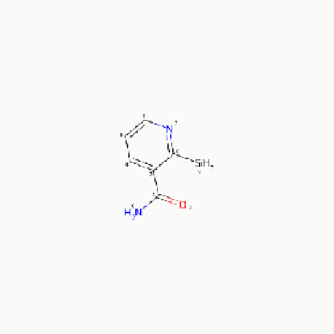 NC(=O)c1cccnc1[SiH3]